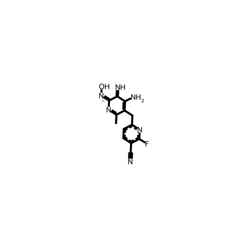 CC1=N/C(=N/O)C(=N)C(N)=C1Cc1ccc(C#N)c(F)n1